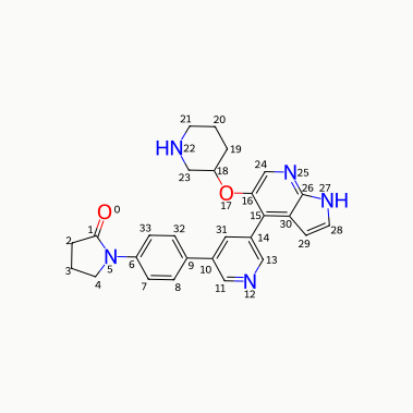 O=C1CCCN1c1ccc(-c2cncc(-c3c(OC4CCCNC4)cnc4[nH]ccc34)c2)cc1